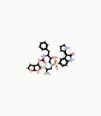 CC(C)CN(CC(O)C(Cc1ccccc1)NC(=O)OC1COC2OCCC12)S(=O)(=O)c1ccc2c(c1)C(=C1CCCN1)C(=O)N2